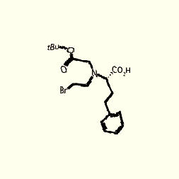 CC(C)(C)OC(=O)CN(CCBr)[C@@H](CCc1ccccc1)C(=O)O